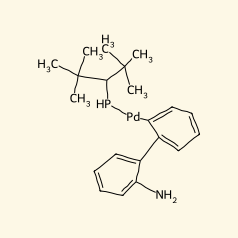 CC(C)(C)C([PH][Pd][c]1ccccc1-c1ccccc1N)C(C)(C)C